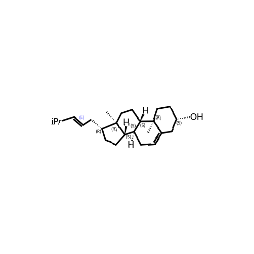 CC(C)/C=C/C[C@H]1CC[C@H]2[C@@H]3CC=C4C[C@@H](O)CC[C@]4(C)[C@H]3CC[C@]12C